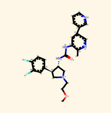 COCCN1C[C@@H](NC(=O)Nc2cc(-c3cccnc3)cnc2C)[C@H](c2ccc(F)c(F)c2)C1